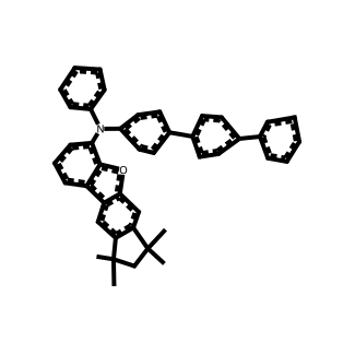 CC1(C)CC(C)(C)c2cc3c(cc21)oc1c(N(c2ccccc2)c2ccc(-c4ccc(-c5ccccc5)cc4)cc2)cccc13